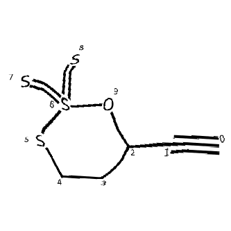 C#CC1CCSS(=S)(=S)O1